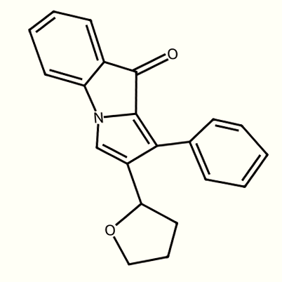 O=C1c2ccccc2-n2cc(C3CCCO3)c(-c3ccccc3)c21